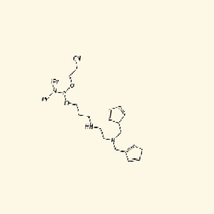 CC(C)N(C(C)C)P(OCCC#N)OCCCNCCN(CC1=CCC=C1)CC1C=CC=C1